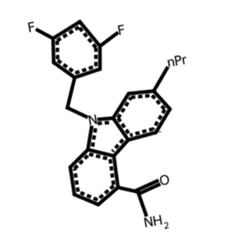 CCCc1c[c]c2c3c(C(N)=O)cccc3n(Cc3cc(F)cc(F)c3)c2c1